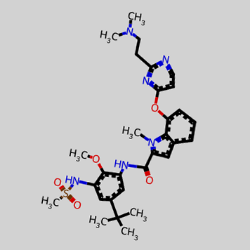 COc1c(NC(=O)c2cc3cccc(Oc4ccnc(CCN(C)C)n4)c3n2C)cc(C(C)(C)C)cc1NS(C)(=O)=O